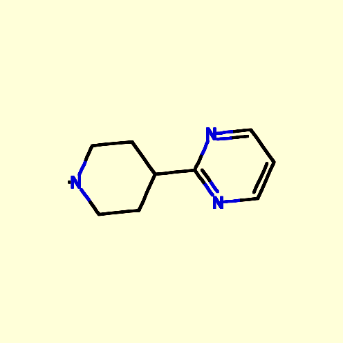 c1cnc(C2CC[N]CC2)nc1